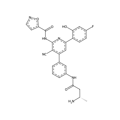 C[C@H](N)CC(=O)Nc1cccc(-c2cc(-c3ccc(F)cc3O)nc(NC(=O)c3ccno3)c2C#N)c1